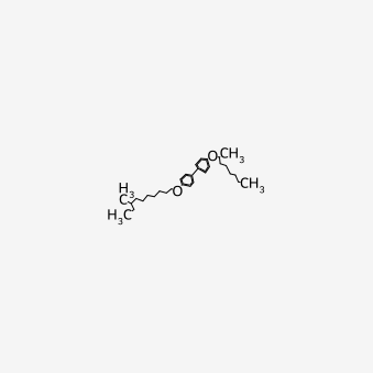 CCCCCC[C@@H](C)Oc1ccc(-c2ccc(OCCCCCCCC(C)CC)cc2)cc1